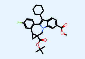 COC(=O)c1ccc2c(C3CCCCC3)c3n(c2c1)CC1(C(=O)OC(C)(C)C)CC1c1cc(F)ccc1-3